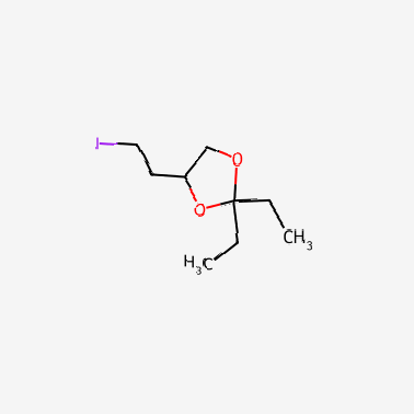 CCC1(CC)OCC(CCI)O1